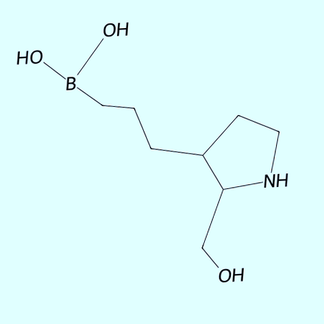 OCC1NCCC1CCCB(O)O